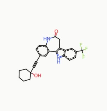 O=C1Cc2c([nH]c3ccc(C(F)(F)F)cc23)-c2cc(C#CC3(O)CCCCC3)ccc2N1